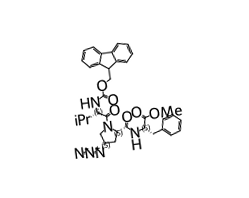 COC(=O)[C@H](Cc1ccccc1)NC(=O)[C@@H]1C[C@H](N=[N+]=[N-])CN1C(=O)[C@@H](NC(=O)OCC1c2ccccc2-c2ccccc21)C(C)C